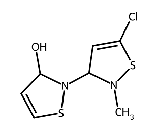 CN1SC(Cl)=CC1N1SC=CC1O